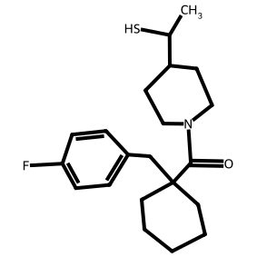 CC(S)C1CCN(C(=O)C2(Cc3ccc(F)cc3)CCCCC2)CC1